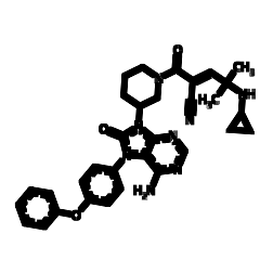 CC(C)(C=C(C#N)C(=O)N1CCCC(n2c(=O)n(-c3ccc(Oc4ccccc4)cc3)c3c(N)ncnc32)C1)NC1CC1